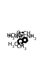 CCS(=O)(=O)N(C)C1CC(C)(C)Oc2ccc(N)cc21.Cl